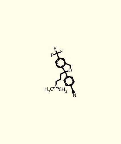 CN(C)CCCC1(c2ccc(C#N)cc2)OCc2cc(C(F)(F)F)ccc21